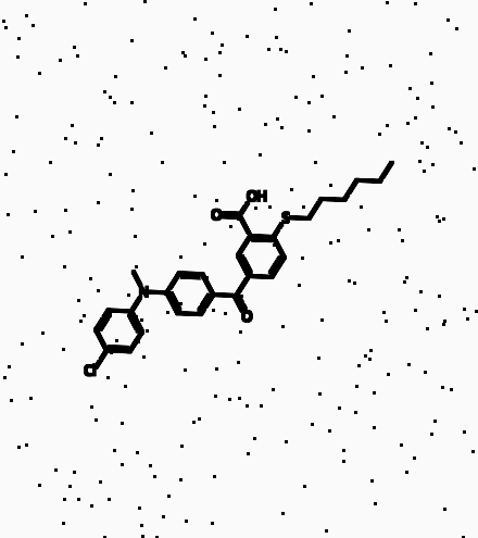 CCCCCCSc1ccc(C(=O)c2ccc(N(C)c3ccc(Cl)cc3)cc2)cc1C(=O)O